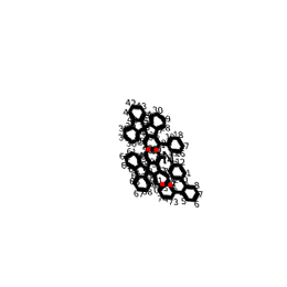 c1ccc(-c2ccccc2-c2ccc(N(c3ccccc3-c3cccc4c3-c3ccccc3C43c4ccccc4-c4ccccc43)c3cccc4c3-c3ccccc3C43c4ccccc4-c4ccccc43)cc2)cc1